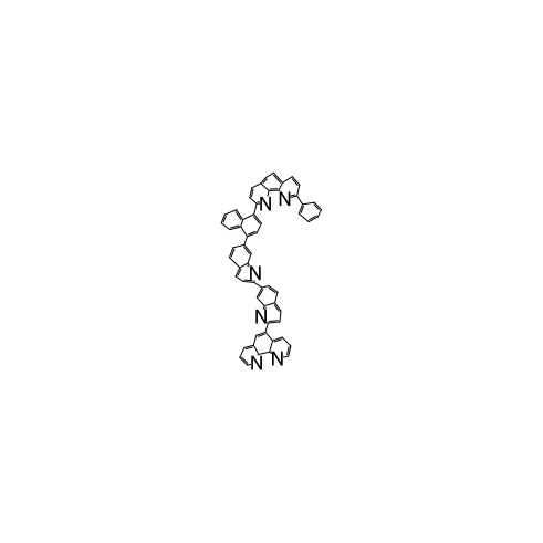 c1ccc(-c2ccc3ccc4ccc(-c5ccc(-c6ccc7ccc(-c8ccc9ccc(-c%10cc%11cccnc%11c%11ncccc%10%11)nc9c8)nc7c6)c6ccccc56)nc4c3n2)cc1